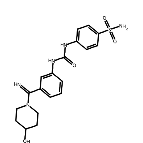 N=C(c1cccc(NC(=O)Nc2ccc(S(N)(=O)=O)cc2)c1)N1CCC(O)CC1